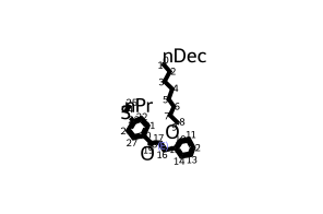 CCCCCCCCCCCCCCCCCCOc1ccccc1/C=C/C(=O)c1ccc(SCCC)cc1